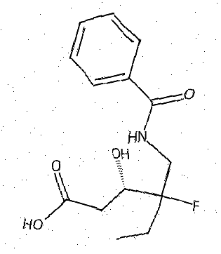 CCC(F)(CNC(=O)c1ccccc1)[C@@H](O)CC(=O)O